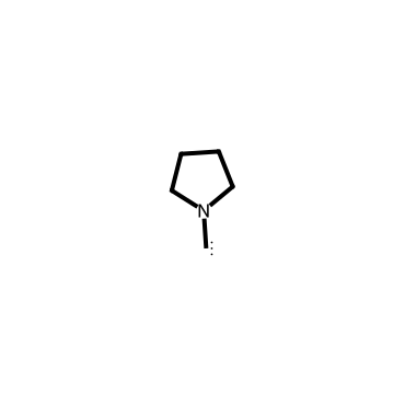 [C]N1CCCC1